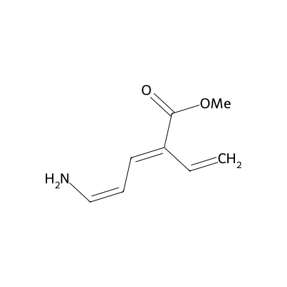 C=C/C(=C\C=C/N)C(=O)OC